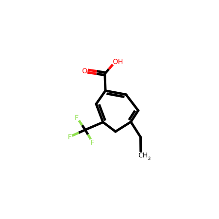 CCC1=CC=C(C(=O)O)C=C(C(F)(F)F)C1